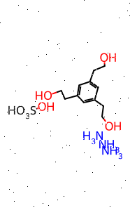 N.N.N.O=S(=O)(O)O.OCCc1cc(CCO)cc(CCO)c1